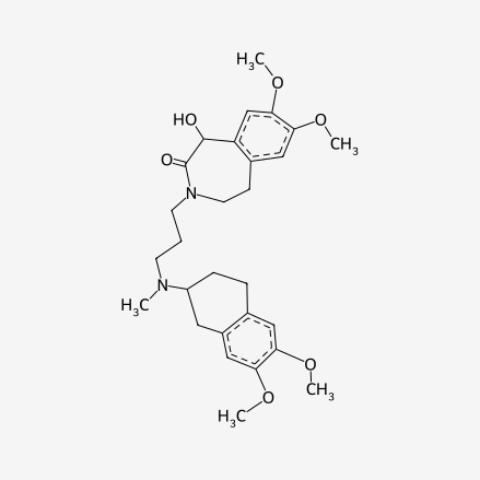 COc1cc2c(cc1OC)CC(N(C)CCCN1CCc3cc(OC)c(OC)cc3C(O)C1=O)CC2